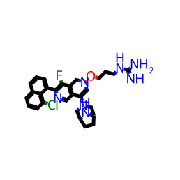 N=C(N)NCCCON1C=C(N2CC3CCC(C2)N3)c2cnc(-c3cccc4cccc(Cl)c34)c(F)c2C1